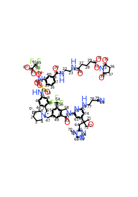 C[C@H]1CCC[N+](Cc2ccc(NS(=O)(=O)c3ccc(C(=O)NCCNC(=O)CCCC(=O)ON4C(=O)CCC4=O)cc3[N+](=O)[O-])cc2)(Cc2cc3c(c(C(F)(F)F)c2)CN(c2cc(C4(Cc5nncn5C)COC4)cc(NCCC#N)n2)C3=O)C1.O=C([O-])C(F)(F)F